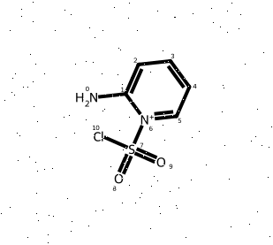 Nc1cccc[n+]1S(=O)(=O)Cl